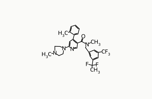 Cc1ccccc1-c1cc(N2CCN(C)CC2)ncc1C(=O)N(C)Cc1cc(C(C)(F)F)cc(C(F)(F)F)c1